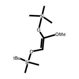 CO/C(=C/O[Si](C)(C)C(C)(C)C)O[Si](C)(C)C